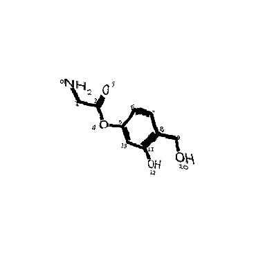 NCC(=O)Oc1ccc(CO)c(O)c1